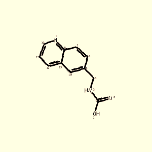 O=C(O)NCc1ccc2ncccc2c1